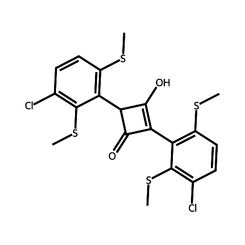 CSc1ccc(Cl)c(SC)c1C1=C(O)C(c2c(SC)ccc(Cl)c2SC)C1=O